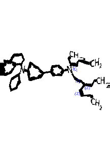 C=C\C=C/C(=C/C=C)/C=C/N(/C(C=C)=C/C=C)c1ccc(-c2ccc(N(C3=CCCC=C3)C3CC=Cc4ccccc43)cc2)cc1